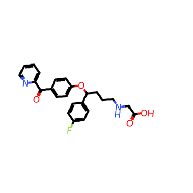 O=C(O)CNCCCC(Oc1ccc(C(=O)c2ccccn2)cc1)c1ccc(F)cc1